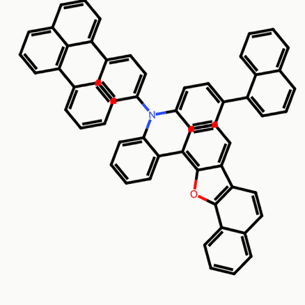 c1ccc(-c2cccc3cccc(-c4ccc(N(c5ccc(-c6cccc7ccccc67)cc5)c5ccccc5-c5cccc6c5oc5c7ccccc7ccc65)cc4)c23)cc1